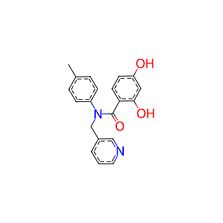 Cc1ccc(N(Cc2cccnc2)C(=O)c2ccc(O)cc2O)cc1